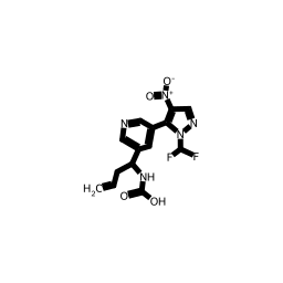 C=CCC(NC(=O)O)c1cncc(-c2c([N+](=O)[O-])cnn2C(F)F)c1